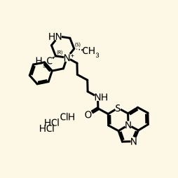 C[C@@H]1CNC[C@H](C)[N+]1(CCCCNC(=O)C1=Cc2cnc3cccc(n23)S1)Cc1ccccc1.Cl.Cl.Cl